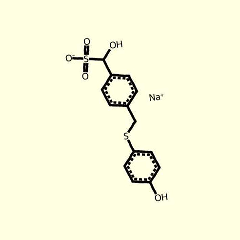 O=S(=O)([O-])C(O)c1ccc(CSc2ccc(O)cc2)cc1.[Na+]